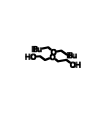 CCC(C)COCC(C)CC.OCCOCCO